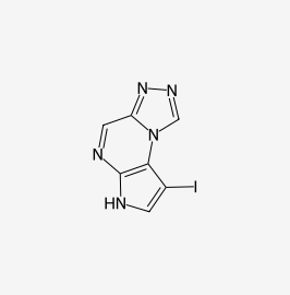 Ic1c[nH]c2ncc3nncn3c12